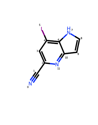 N#Cc1cc(I)c2[nH]ccc2n1